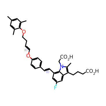 Cc1cc(C)c(OCC/C=C/Oc2ccc(/C=C/c3cc(F)cc4c(CCCC(=O)O)c(C)n(CC(=O)O)c34)cc2)c(C)c1